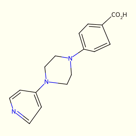 O=C(O)c1ccc(N2CCN(c3ccncc3)CC2)cc1